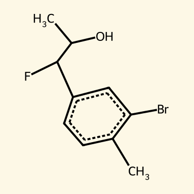 Cc1ccc(C(F)C(C)O)cc1Br